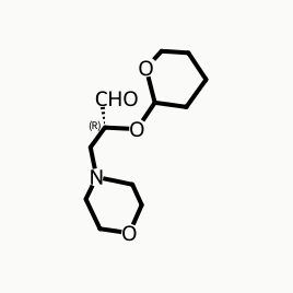 O=C[C@@H](CN1CCOCC1)OC1CCCCO1